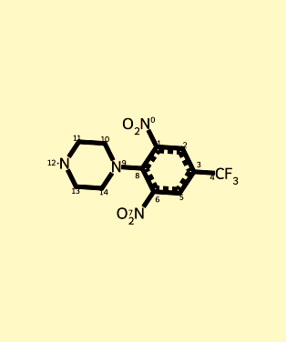 O=[N+]([O-])c1cc(C(F)(F)F)cc([N+](=O)[O-])c1N1CC[N]CC1